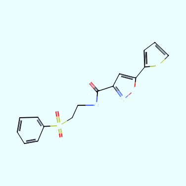 O=C(NCCS(=O)(=O)c1ccccc1)c1cc(-c2cccs2)on1